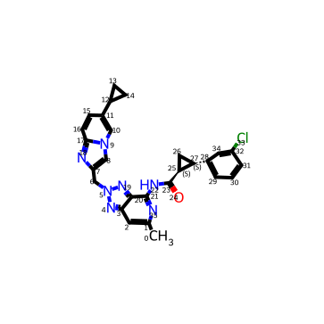 Cc1cc2nn(Cc3cn4cc(C5CC5)ccc4n3)nc2c(NC(=O)[C@H]2C[C@@H]2c2cccc(Cl)c2)n1